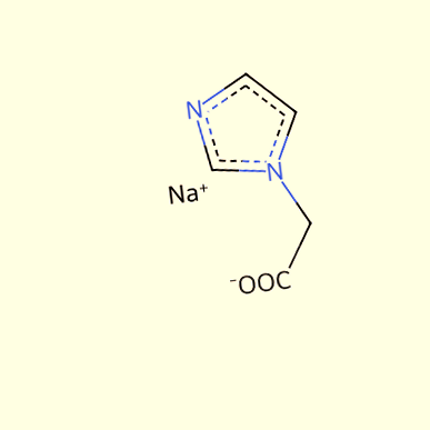 O=C([O-])Cn1ccnc1.[Na+]